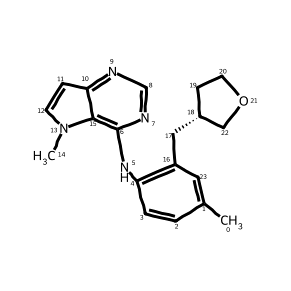 Cc1ccc(Nc2ncnc3ccn(C)c23)c(C[C@@H]2CCOC2)c1